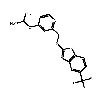 CC(C)Oc1ccnc(CSc2nc3cc(C(F)(F)F)ccc3[nH]2)c1